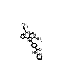 CC#CC(=O)N1CCCC1c1nc(-c2ccc(C(=O)Nc3ccccn3)cc2)n2c(N)nccc12